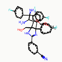 COCOC(C(N)C(N)(c1ccc(F)cc1)c1ccc(F)cc1)C1(CO)NC(c2cccc(C#N)c2)=NC1(c1ccc(F)cc1)c1ccc(F)cc1